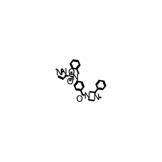 CN1CCN(C(=O)c2ccc(N(Cc3ccccc3)S(=O)(=O)c3ccn(C)n3)cc2)CC1c1ccccc1